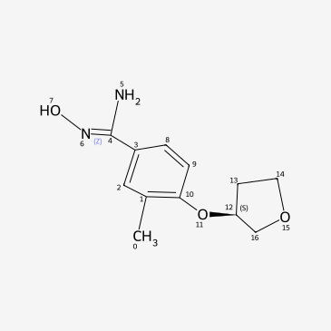 Cc1cc(/C(N)=N/O)ccc1O[C@H]1CCOC1